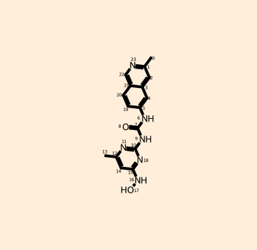 Cc1cc2cc(NC(=O)Nc3nc(C)cc(NO)n3)ccc2cn1